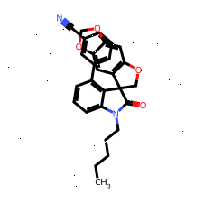 CCCCCN1C(=O)C2(COc3cc4c(cc32)OCO4)c2c(-c3cccc(C#N)c3)cccc21